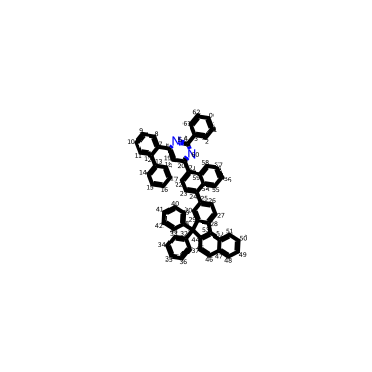 c1ccc(-c2nc(-c3ccccc3-c3ccccc3)cc(-c3ccc(-c4ccc5c(c4)C(c4ccccc4)(c4ccccc4)c4ccc6ccccc6c4-5)c4ccccc34)n2)cc1